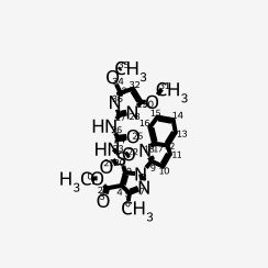 COC(=O)c1c(C)nn(-c2ccc3ccccc3n2)c1S(=O)(=O)NC(=O)Nc1nc(OC)cc(OC)n1